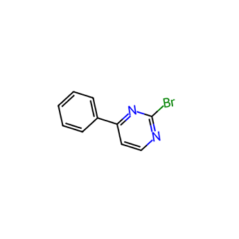 Brc1nccc(-c2ccccc2)n1